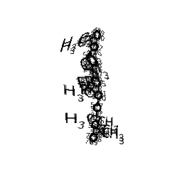 CCC(CC)(c1ccc(-c2ccc3c(c2)C(C)(C(F)(F)F)c2cc4c(cc2-3)CC4(CC)c2ccc(-c3ccc4c(c3)C(CC)(CC)c3ccccc3-4)cc2)cc1)c1ccc2c(c1)C(CC)(CC)c1ccccc1-2